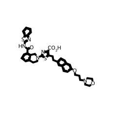 O=C(Nc1nc2ccccc2s1)c1cccc2c1CN(c1nc(C(=O)O)c(CCc3ccc4cc(OCCCN5CCOCC5)ccc4c3)s1)CC2